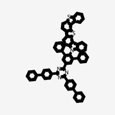 c1ccc(-c2ccc(-c3nc(-c4ccc(-c5ccccc5)cc4)nc(-c4cc(-c5ccccc5)c(-n5c6ccccc6c6c7sc8c(ccc9sc%10ccccc%10c98)c7ccc65)c(-c5ccccc5)c4)n3)cc2)cc1